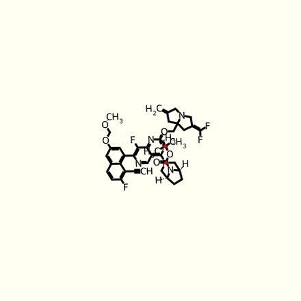 C#Cc1c(F)ccc2cc(OCOC)cc(-c3ncc4c(N5C[C@H]6CC[C@@H](C5)N6C(=O)OC(C)(C)C)nc(OCC56CC(=C)CN5CC(=C(F)F)C6)nc4c3F)c12